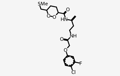 C=C(CCNC(=O)COc1ccc(Cl)c(F)c1)NC(=O)C1CCC(CSC)OO1